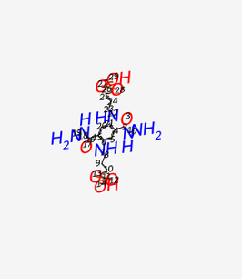 NNC(=O)c1cc(NCCCS(=O)(=O)O)c(C(=O)NN)cc1NCCCS(=O)(=O)O